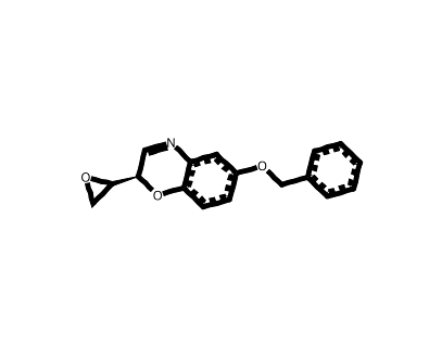 C1=Nc2cc(OCc3ccccc3)ccc2O[C@H]1C1CO1